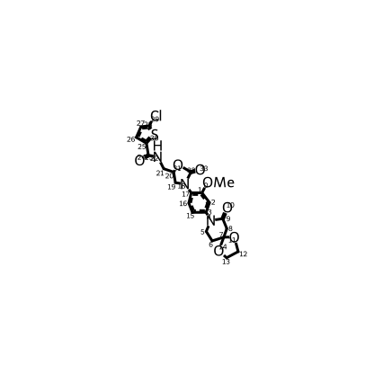 COc1cc(N2CCC3(CC2=O)OCCO3)ccc1N1CC(CNC(=O)c2ccc(Cl)s2)OC1=O